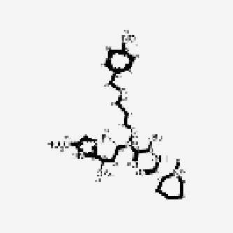 CC[C@H](C)[C@H](NC(=O)[C@H]1CCCCN1C)C(=O)N(OCCCOCc1ccc([N+](=O)[O-])cc1)[C@H](C[C@@H](OC(C)=O)c1nc(C(=O)O)cs1)C(C)C